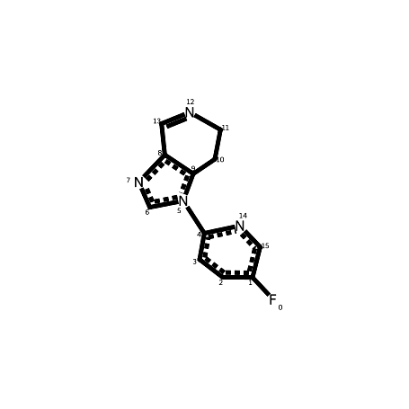 Fc1ccc(-n2cnc3c2CCN=C3)nc1